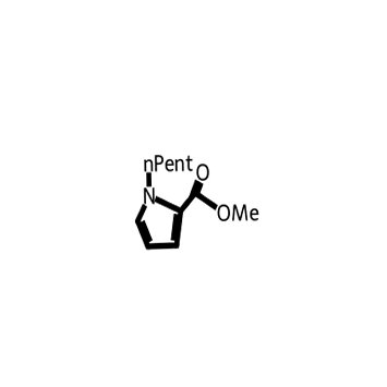 CCCCCn1cccc1C(=O)OC